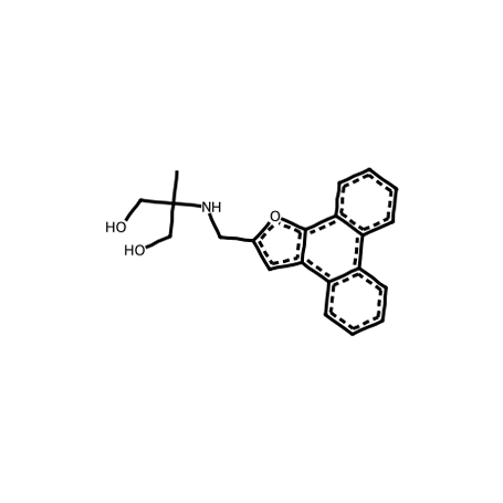 CC(CO)(CO)NCc1cc2c3ccccc3c3ccccc3c2o1